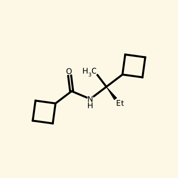 CC[C@](C)(NC(=O)C1CCC1)C1CCC1